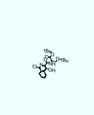 CC(C)(C)OC[C@@H](NC(=O)c1nc(Cl)c2ccccc2c1O)C(=O)OC(C)(C)C